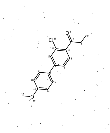 CCC(=O)c1ccc(-c2ccc(OC)cc2)cc1Cl